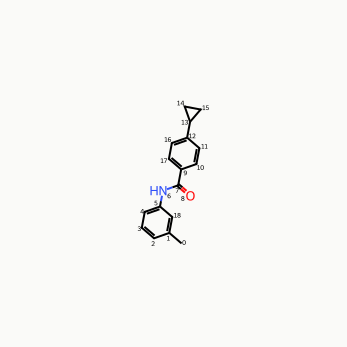 Cc1cccc(NC(=O)c2ccc(C3CC3)cc2)c1